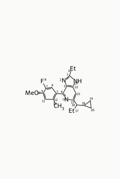 CCc1nc2c(-c3cc(F)c(OC)cc3C)nc(C(CC)C3CC3)cc2[nH]1